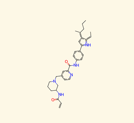 C=CC(=O)NC1CCCN(Cc2ccnc(C(=O)Nc3ccc(-c4cc(=C(\C)CCC)/c(=C\C)[nH]4)cc3)c2)C1